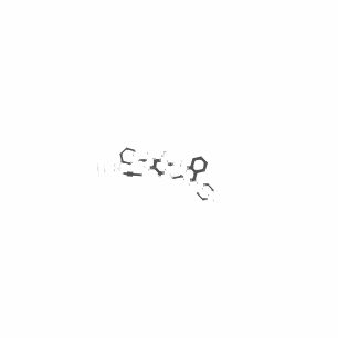 CC#CCn1c(N2CCCC(N)C2)nc2c1c(=O)n(Cc1nc(N3CCNCC3)c3ccccc3n1)c(=O)n2C